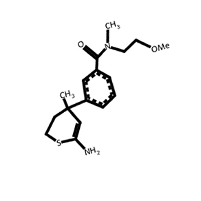 COCCN(C)C(=O)c1cccc(C2(C)C=C(N)SCC2)c1